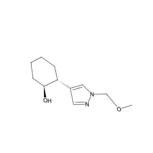 COCn1cc([C@H]2CCCC[C@@H]2O)cn1